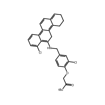 CC(C)(C)C(=O)COc1ccc(CNC2=c3c(Cl)cccc3=c3ccc4c(c3C2)CCCC=4)cc1Cl